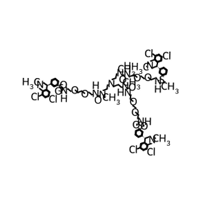 C/C=S(\NCCOCCOCCNC(=O)N(C)CCCN(CCCN(C)C(=O)NCCOCCOCCNS(=O)(=O)c1cccc([C@@H]2CN(C)Cc3c(Cl)cc(Cl)cc32)c1)CCCN(C)C(=O)NCCOCCOCCNS(=O)(=O)c1cccc([C@@H]2CN(C)Cc3c(Cl)cc(Cl)cc32)c1)c1cccc([C@@H]2CN(C)Cc3c(Cl)cc(Cl)cc32)c1